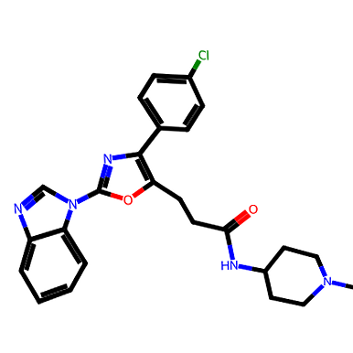 CN1CCC(NC(=O)CCc2oc(-n3cnc4ccccc43)nc2-c2ccc(Cl)cc2)CC1